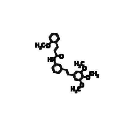 COc1ccccc1/C=C/C(=O)Nc1cccc(C=Cc2cc(OC)c(OC)c(OC)c2)c1